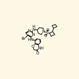 O=C1COc2c(cccc2Nc2nc(NC3CCN(S(=O)(=O)C4CCC4C4CCC4)CC3)ncc2Br)N1